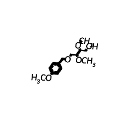 COc1ccc(COC[C@H](OC)[C@H](CO)OC)cc1